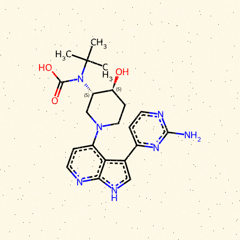 CC(C)(C)N(C(=O)O)[C@H]1CN(c2ccnc3[nH]cc(-c4ccnc(N)n4)c23)CC[C@@H]1O